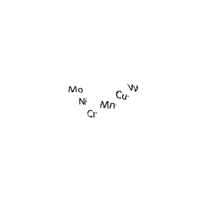 [Cr].[Cu].[Mn].[Mo].[Ni].[W]